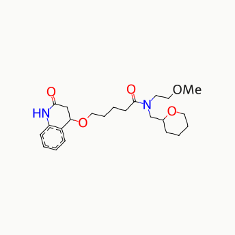 COCCN(CC1CCCCO1)C(=O)CCCCOC1CC(=O)Nc2ccccc21